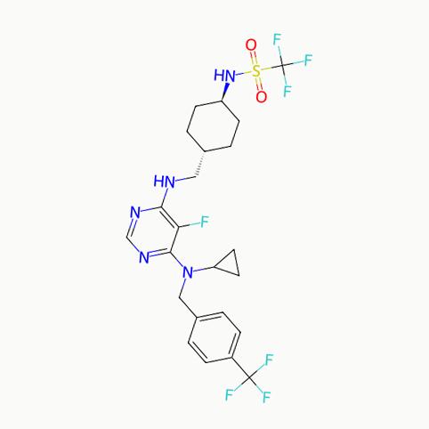 O=S(=O)(N[C@H]1CC[C@H](CNc2ncnc(N(Cc3ccc(C(F)(F)F)cc3)C3CC3)c2F)CC1)C(F)(F)F